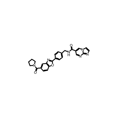 O=C(NCc1ccc(-c2nc3cc(C(=O)N4CCCC4)ccc3o2)cc1)c1cnc2nccn2c1